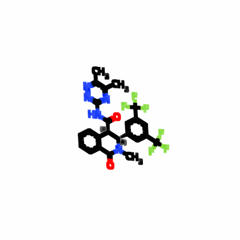 Cc1nnc(NC(=O)[C@@H]2c3ccccc3C(=O)N(C)[C@H]2c2cc(C(F)(F)F)cc(C(F)(F)F)c2)nc1C